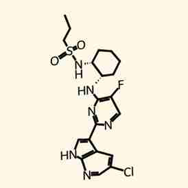 CCCS(=O)(=O)N[C@@H]1CCCC[C@@H]1Nc1nc(-c2c[nH]c3ncc(Cl)cc23)ncc1F